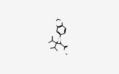 COC(=O)C1N(c2ccc3c(c2)OCO3)C1(C(C)C)C(C)C